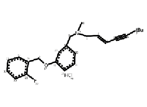 CN(C/C=C/C#CC(C)(C)C)Cc1cccc(OCc2ccccc2F)c1.Cl